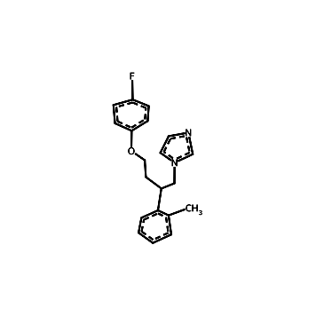 Cc1ccccc1C(CCOc1ccc(F)cc1)Cn1ccnc1